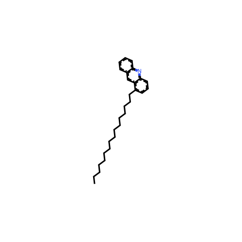 CCCCCCCCCCCCCCCCc1cccc2nc3ccccc3cc12